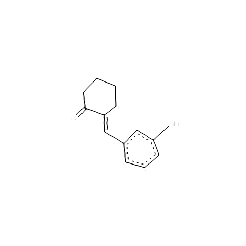 CCCc1cccc(C=C2CCCCC2=O)c1